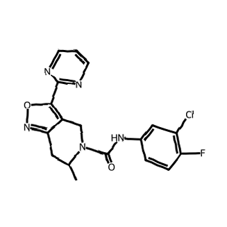 CC1Cc2noc(-c3ncccn3)c2CN1C(=O)Nc1ccc(F)c(Cl)c1